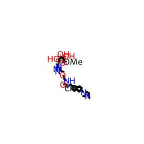 CO[C@H]1O[C@H](Cn2cc(COCCNC(=O)/C(C#N)=C/c3ccc4cc(N5CCN(C)CC5)ccc4c3)nn2)[C@@H](O)[C@H](O)[C@H]1O